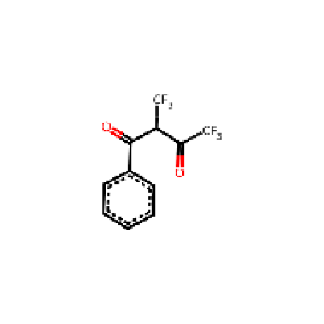 O=C(c1ccccc1)C(C(=O)C(F)(F)F)C(F)(F)F